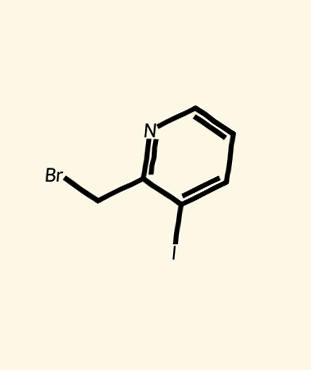 BrCc1ncccc1I